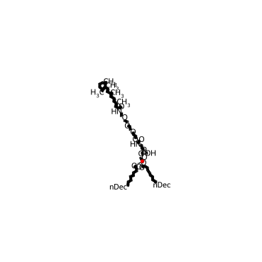 CCCCCCCCCCCCCCCCCC(=O)OC[C@H](COP(=O)(O)OCCNC(=O)OCCOCCOCCOCCNC(=O)/C=C(C)/C=C/C=C(C)/C=C/C1=C(C)CCCC1(C)C)OC(=O)CCCCCCCCCCCCCCCCC